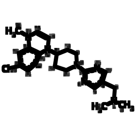 CN(C)Cc1cnc(N2CCC(N3C=CN(C)c4cc(Cl)ccc43)CC2)nc1